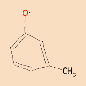 Cc1cccc([O])c1